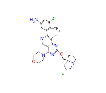 Nc1cc(Cl)c(C(F)(F)F)c(-c2ncc3c(N4CCOCC4)nc(OC[C@@]45CCCN4C[C@H](F)C5)nc3c2F)c1